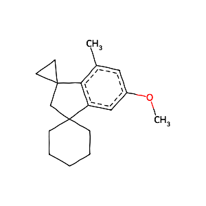 COc1cc(C)c2c(c1)C1(CCCCC1)CC21CC1